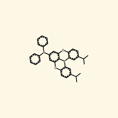 CC(C)c1ccc2c(c1)B1c3cc(C(C)C)ccc3Oc3cc(N(c4ccccc4)c4ccccc4)cc(c31)O2